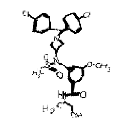 COc1cc(C(=O)NC(C)CO)cc(N(C2CN(C(c3ccc(Cl)cc3)c3ccc(Cl)cc3)C2)S(C)(=O)=O)c1